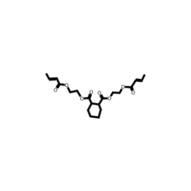 CC=CC(=O)OCCOC(=O)C1CCCCC1C(=O)OCCOC(=O)C=CC